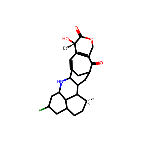 CC[C@@]1(O)C(=O)OCC2=C1C=C1CC(CC3C1NC1CC(F)CC4CC[C@@H](C)C3C41)C2=O